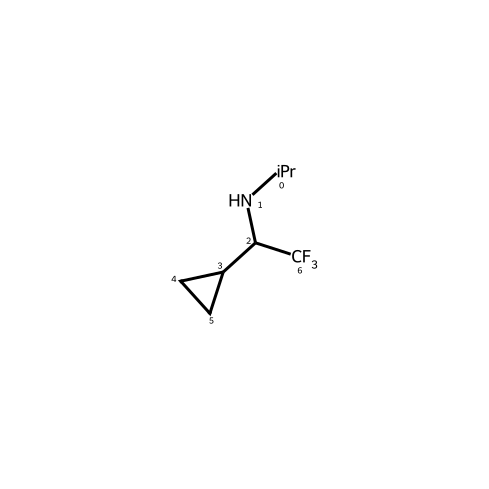 CC(C)NC(C1CC1)C(F)(F)F